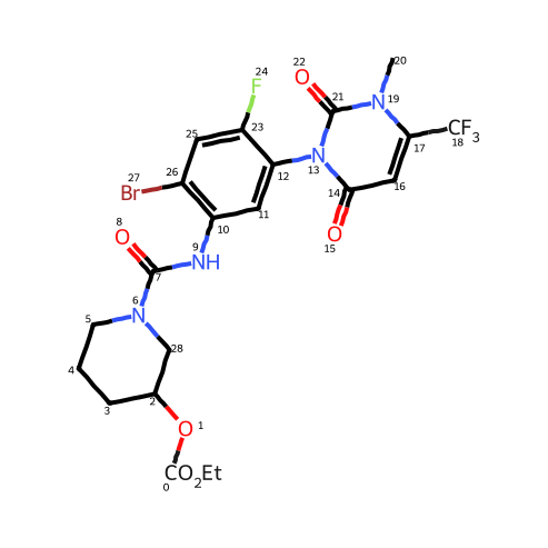 CCOC(=O)OC1CCCN(C(=O)Nc2cc(-n3c(=O)cc(C(F)(F)F)n(C)c3=O)c(F)cc2Br)C1